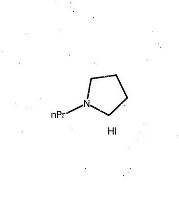 CCCN1CCCC1.I